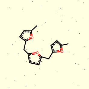 Cc1ccc(Cc2ccc(Cc3ccc(C)o3)o2)o1